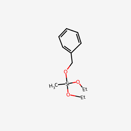 CCO[Si](C)(OCC)OCc1ccccc1